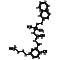 C[N+](C)(CCc1ccc2ccccc2c1)C[C@@H](O)COc1cc(CCCC(=O)O)ccc1C#N